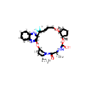 CC(C)(C)[C@@H]1NC(O)O[C@@H]2CCC[C@H]2OC/C=C/C(F)(F)c2nc3ccccc3nc2O[C@@H]2C[C@@H](C(=O)O)N(C2)C1=O